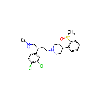 CCNC[C@@H](CCN1CCC(c2ccccc2[S@+](C)[O-])CC1)c1ccc(Cl)c(Cl)c1